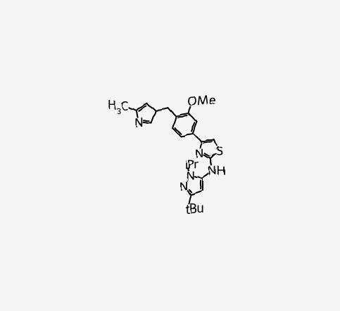 COc1cc(-c2csc(Nc3cc(C(C)(C)C)nn3C(C)C)n2)ccc1CC1C=NC(C)=C1